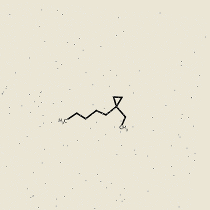 CCC[CH]CC1(CC)CC1